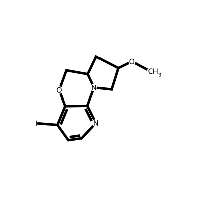 COC1CC2COc3c(I)ccnc3N2C1